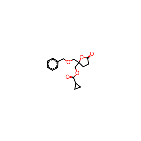 O=C1CCC(COCc2ccccc2)(COC(=O)C2CC2)O1